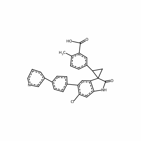 Cc1ccc(C2CC23C(=O)Nc2cc(Cl)c(-c4ccc(-c5cccnc5)cc4)cc23)cc1C(=O)O